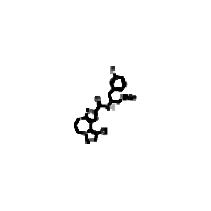 CNCC(Cc1cccc(F)c1)NC(=O)c1cc2c(s1)CCCn1ncc(Cl)c1-2